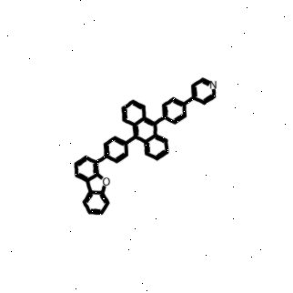 c1ccc2c(c1)oc1c(-c3ccc(-c4c5ccccc5c(-c5ccc(-c6ccncc6)cc5)c5ccccc45)cc3)cccc12